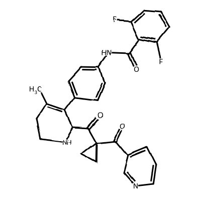 CC1=C(c2ccc(NC(=O)c3c(F)cccc3F)cc2)C(C(=O)C2(C(=O)c3cccnc3)CC2)NCC1